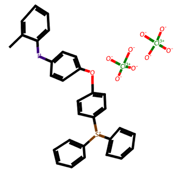 Cc1ccccc1[I+]c1ccc(Oc2ccc([S+](c3ccccc3)c3ccccc3)cc2)cc1.[O-][Cl+3]([O-])([O-])[O-].[O-][Cl+3]([O-])([O-])[O-]